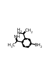 Bc1ccc(C(C)=N)c(C(=C)N)c1